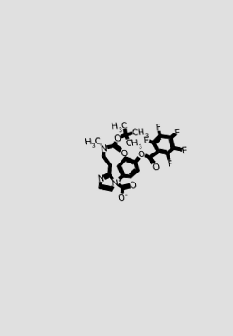 CN(CCC1=NC=C[N+]1(C(=O)[O-])c1ccc(OC(=O)c2c(F)c(F)c(F)c(F)c2F)cc1)C(=O)OC(C)(C)C